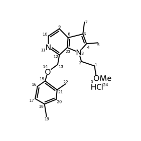 COCCn1c(C)c(C)c2ccnc(COc3ccc(C)cc3C)c21.Cl